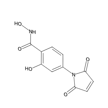 O=C(NO)c1ccc(N2C(=O)C=CC2=O)cc1O